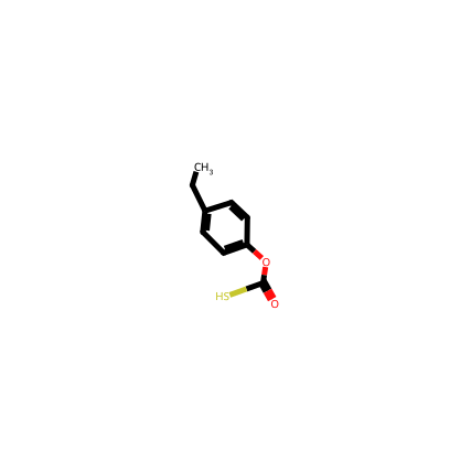 CCc1ccc(OC(=O)S)cc1